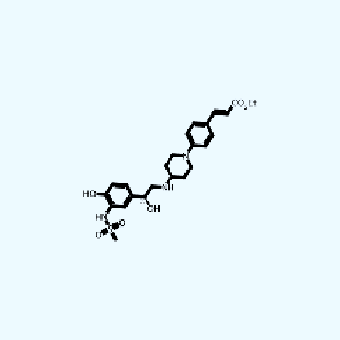 CCOC(=O)C=Cc1ccc(N2CCC(NC[C@@H](O)c3ccc(O)c(NS(C)(=O)=O)c3)CC2)cc1